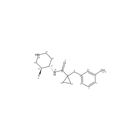 Cc1cccc(CC2(C(=O)N[C@H]3CCNC[C@@H]3F)CC2)c1